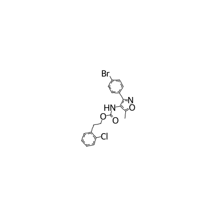 Cc1onc(-c2ccc(Br)cc2)c1NC(=O)OCCc1ccccc1Cl